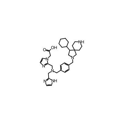 O=C(O)Cn1ccnc1CN(Cc1ccc(CN2CC(C3CCCCC3)C3(CCNCC3)C2)cc1)Cc1ncc[nH]1